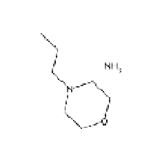 CCCN1CCOCC1.N